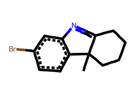 CC12CCCCC1=Nc1cc(Br)ccc12